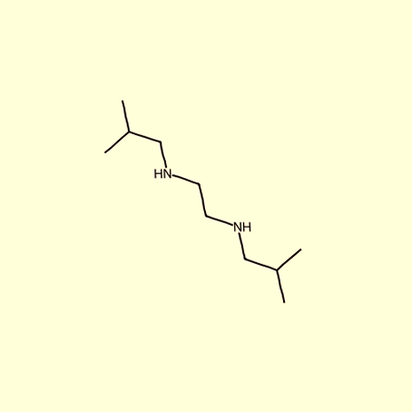 CC(C)CNCCNCC(C)C